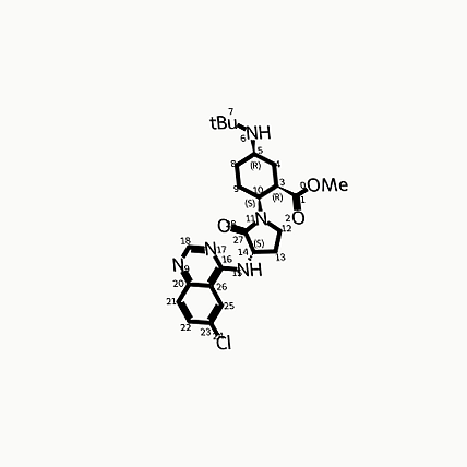 COC(=O)[C@@H]1C[C@H](NC(C)(C)C)CC[C@@H]1N1CC[C@H](Nc2ncnc3ccc(Cl)cc23)C1=O